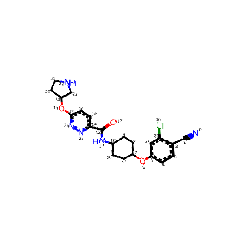 N#Cc1ccc(OC2CCC(NC(=O)c3ccc(OC4CCNC4)nn3)CC2)cc1Cl